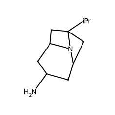 CC(C)C12CC3CC(N)CC(C1)N32